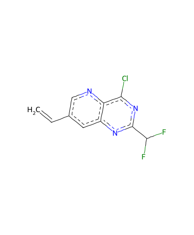 C=Cc1cnc2c(Cl)nc(C(F)F)nc2c1